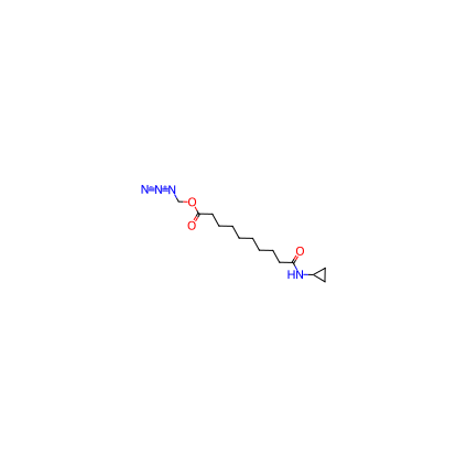 [N-]=[N+]=NCOC(=O)CCCCCCCCC(=O)NC1CC1